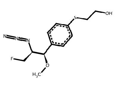 CO[C@H](c1ccc(SCCO)cc1)[C@@H](CF)N=[N+]=[N-]